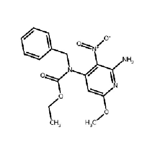 CCOC(=O)N(Cc1ccccc1)c1cc(OC)nc(N)c1[N+](=O)[O-]